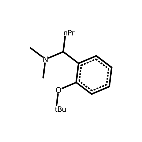 CCCC(c1ccccc1OC(C)(C)C)N(C)C